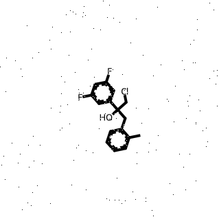 Cc1ccccc1CC(O)(CCl)c1cc(F)cc(F)c1